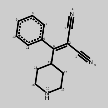 N#CC(C#N)=C(c1ccccc1)C1CCNCC1